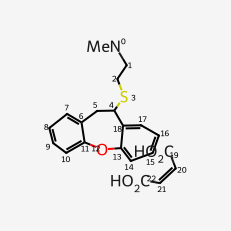 CNCCSC1Cc2ccccc2Oc2ccccc21.O=C(O)/C=C\C(=O)O